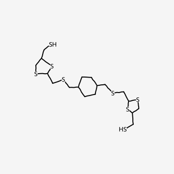 SCC1CSC(CSCC2CCC(CSCC3SCC(CS)S3)CC2)S1